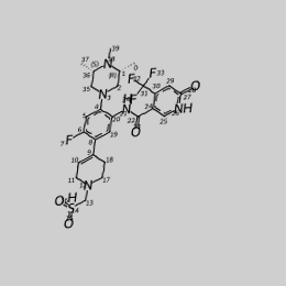 C[C@@H]1CN(c2cc(F)c(C3=CCN(C[SH](=O)=O)CC3)cc2NC(=O)c2c[nH]c(=O)cc2C(F)(F)F)C[C@H](C)N1C